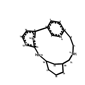 B1CCc2ccc(cn2)-c2ccnc(n2)NC2CCCC(C1)C2